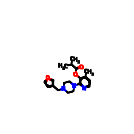 Cc1ccnc(N2CCN(Cc3ccoc3)CC2)c1OC(=O)C(C)C